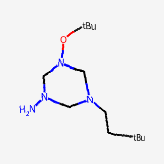 CC(C)(C)CCN1CN(N)CN(OC(C)(C)C)C1